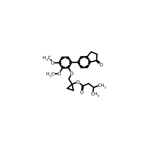 COc1ccc(-c2ccc3c(c2)CCC3=O)c(OCC2(OC(=O)CC(C)C)CC2)c1OC